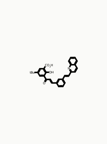 CC(C)(C)c1cc(C(=O)O)c(O)c(C(=O)C=Cc2cccc(C=Cc3ccc4ccccc4n3)c2)c1